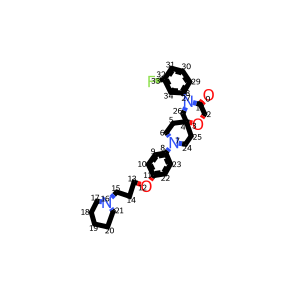 O=C1COC2(CCN(c3ccc(OCCCN4CCCCC4)cc3)CC2)CN1c1cccc(F)c1